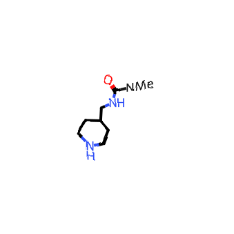 CNC(=O)NCC1CCNCC1